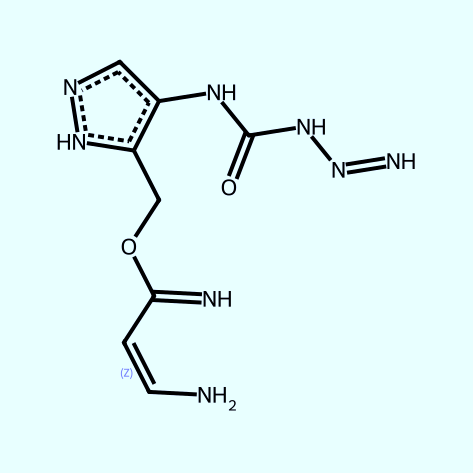 N=NNC(=O)Nc1cn[nH]c1COC(=N)/C=C\N